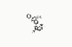 Cc1cc(-c2ccccc2)nc2cc(-c3nc(C4CCC4)n4ncnc(N)c34)ccc12